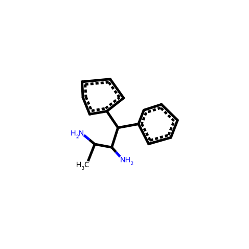 CC(N)C(N)C(c1ccccc1)c1ccccc1